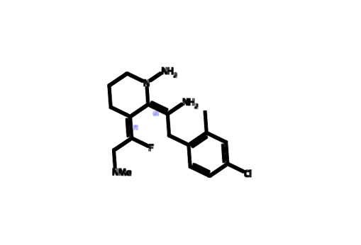 CNC/C(F)=C1\CCCN(N)\C1=C(/N)Cc1ccc(Cl)cc1C